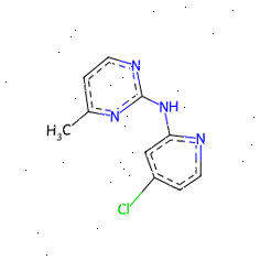 Cc1ccnc(Nc2cc(Cl)ccn2)n1